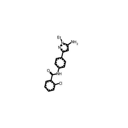 CCn1nc(-c2ccc(NC(=O)c3ccccc3Cl)cc2)cc1N